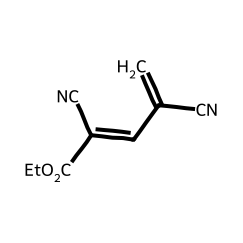 C=C(C#N)/C=C(\C#N)C(=O)OCC